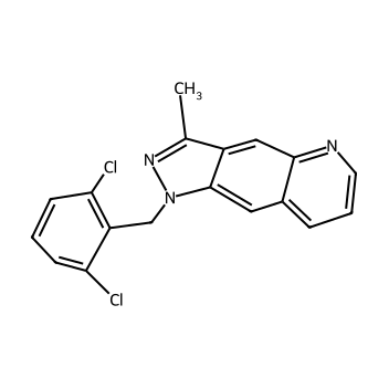 Cc1nn(Cc2c(Cl)cccc2Cl)c2cc3cccnc3cc12